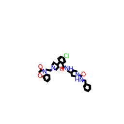 O=C(NCC1CCN(C(=O)NCc2ccccc2)CC1)c1cc(Cl)ccc1C1CCN(CCN2C(=O)COc3ccccc32)CC1